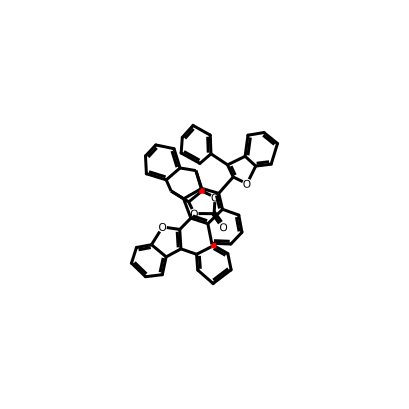 O=C1OC2C(O1)C1c3ccccc3C2C2C(c3oc4ccccc4c3-c3ccccc3)=c3ccccc3=C(c3oc4ccccc4c3-c3ccccc3)C21